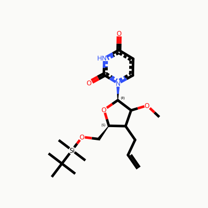 C=CCC1C(OC)[C@H](n2ccc(=O)[nH]c2=O)O[C@@H]1CO[Si](C)(C)C(C)(C)C